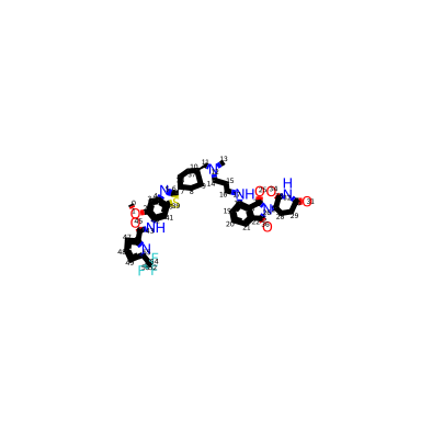 COc1cc2nc([C@H]3CC[C@H](CN(C)CCCNc4cccc5c4C(=O)N(C4CCC(=O)NC4=O)C5=O)CC3)sc2cc1NC(=O)c1cccc(C(F)(F)F)n1